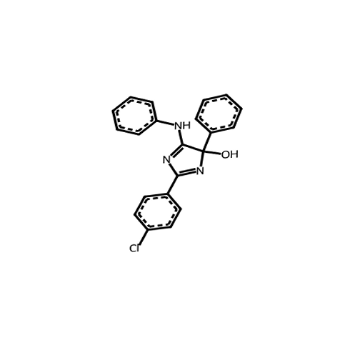 OC1(c2ccccc2)N=C(c2ccc(Cl)cc2)N=C1Nc1ccccc1